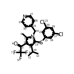 Cc1c(C(=O)C(F)(F)F)c(C(C)C)c(Sc2cc(Cl)cc(Cl)c2)n1Cc1ccncc1